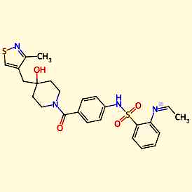 C/C=N\c1ccccc1S(=O)(=O)Nc1ccc(C(=O)N2CCC(O)(Cc3csnc3C)CC2)cc1